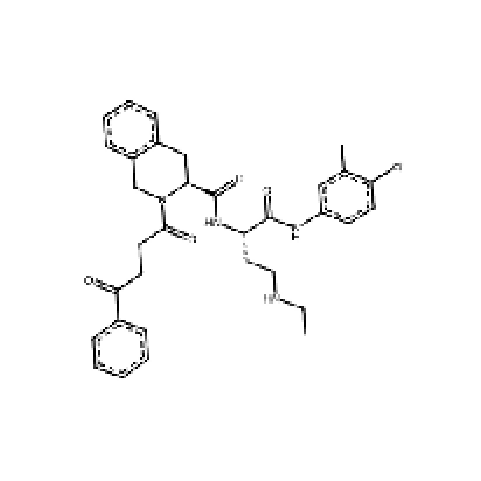 CCNCC[C@H](NC(=O)[C@@H]1Cc2ccccc2CN1C(=O)CCC(=O)c1ccccc1)C(=O)Nc1ccc(Cl)c(C)c1